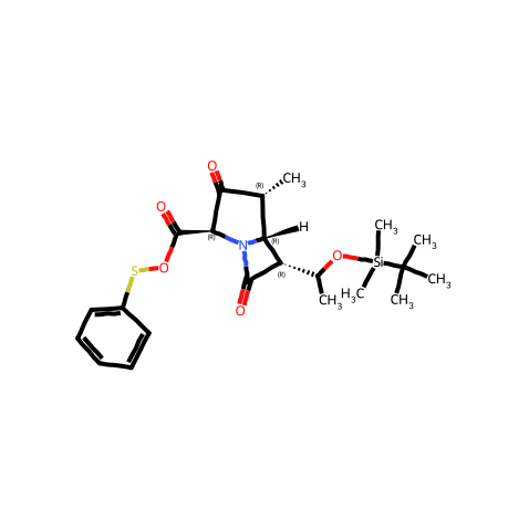 CC(O[Si](C)(C)C(C)(C)C)[C@@H]1C(=O)N2[C@@H](C(=O)OSc3ccccc3)C(=O)[C@H](C)[C@H]12